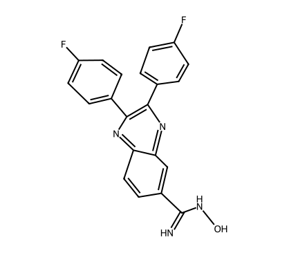 N=C(NO)c1ccc2nc(-c3ccc(F)cc3)c(-c3ccc(F)cc3)nc2c1